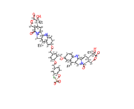 CCc1c2c(nc3ccc(OCc4cc(COc5ccc6nc7c(c(CC)c6c5)Cn5c-7cc6c(c5=O)COC(=O)[C@]6(O)CC)ccc4OCc4ccc(OS(=O)(=O)F)cc4)cc13)C1=CC3C(COC(=O)[C@]3(O)CC)C(=O)N1C2